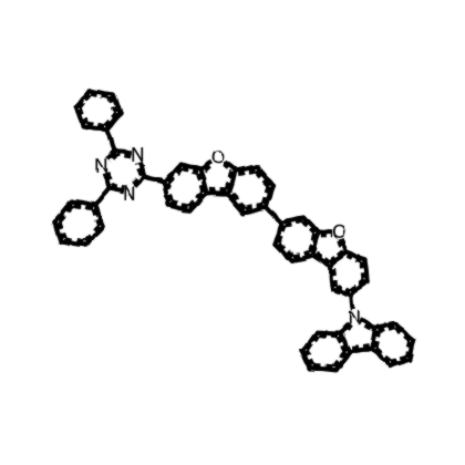 c1ccc(-c2nc(-c3ccccc3)nc(-c3ccc4c(c3)oc3ccc(-c5ccc6c(c5)oc5ccc(-n7c8ccccc8c8ccccc87)cc56)cc34)n2)cc1